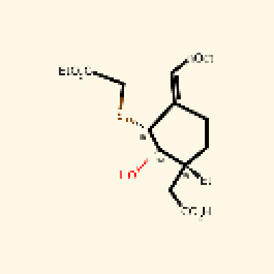 CCCCCCCCC=C1CC[C@](CC)(CC(=O)O)[C@H](O)[C@@H]1SCC(=O)OCC